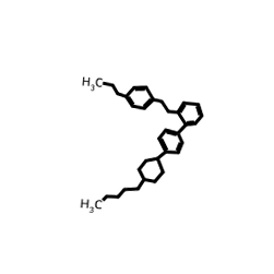 CCCCCC1CCC(c2ccc(-c3ccccc3CCc3ccc(CCC)cc3)cc2)CC1